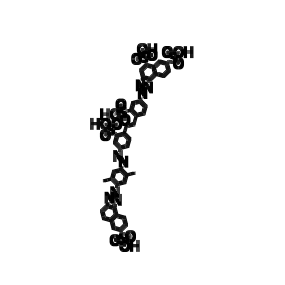 Cc1cc(-n2n3c4ccc5cc(S(=O)(=O)O)ccc5c4n23)c(C)cc1N=Nc1ccc(C=Cc2ccc(-n3n4c5cc(S(=O)(=O)O)c6cc(S(=O)(=O)O)ccc6c5n34)cc2S(=O)(=O)O)c(S(=O)(=O)O)c1